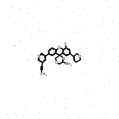 CC#Cc1cncc(-c2ccc3c(c2)C2(COCC(N)=N2)c2cc(C4=CCCOC4)cc(F)c2O3)c1